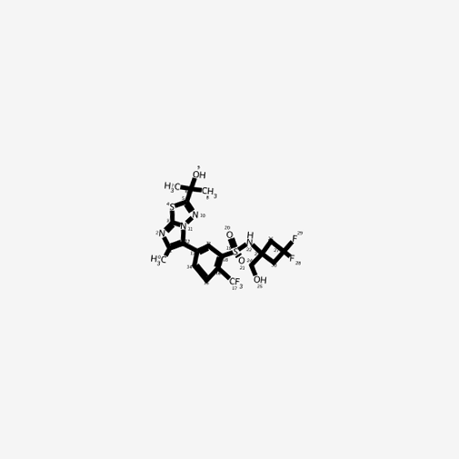 Cc1nc2sc(C(C)(C)O)nn2c1-c1ccc(C(F)(F)F)c(S(=O)(=O)NC2(CO)CC(F)(F)C2)c1